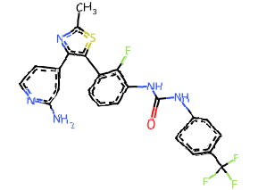 Cc1nc(-c2ccnc(N)c2)c(-c2cccc(NC(=O)Nc3ccc(C(F)(F)F)cc3)c2F)s1